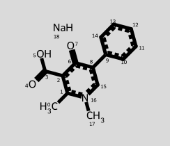 Cc1c(C(=O)O)c(=O)c(-c2ccccc2)cn1C.[NaH]